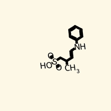 CC(C=CNc1ccccc1)CS(=O)(=O)O